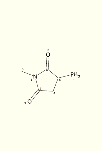 CN1C(=O)CC(P)C1=O